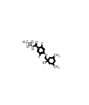 C=C1CC(C)CC(CC)(COc2cc(F)c(C(=O)NS(C)(=O)=O)cc2F)C1